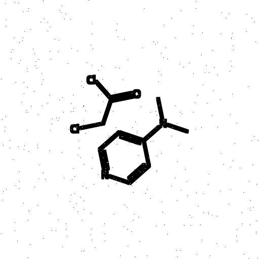 CN(C)c1ccncc1.O=C(Cl)CCl